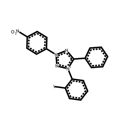 O=[N+]([O-])c1ccc(-n2nc(-c3ccccc3)[n+](-c3ccccc3I)n2)cc1